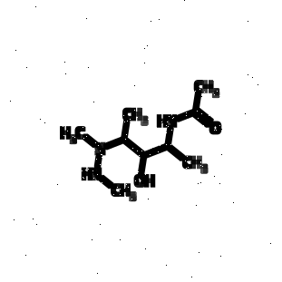 CNN(C)C(C)C(O)C(C)NC(C)=O